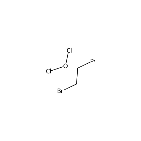 ClOCl.[P]CCBr